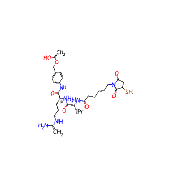 C=C(N)NCCC[C@H](NC(=O)C(NC(=O)CCCCCN1C(=O)CC(S)C1=O)C(C)C)C(=O)Nc1ccc(COC(=C)O)cc1